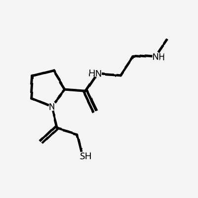 C=C(NCCNC)C1CCCN1C(=C)CS